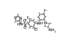 NC1CN(c2cc(F)ccc2Nc2cc(F)c(S(=O)(=O)Nc3cscn3)cc2Cl)C1